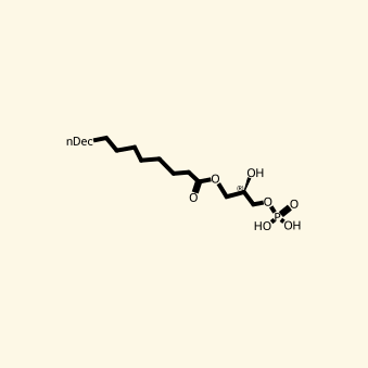 CCCCCCCCCCCCCCCCCC(=O)OC[C@@H](O)COP(=O)(O)O